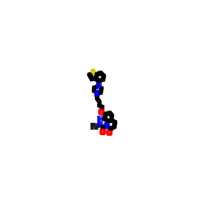 CCNC(=O)n1c(=O)ccc2ccc(OCCCCN3CCN(c4cccc5sccc45)CC3)cc21